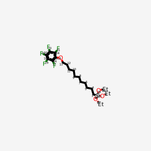 CCO[Si](CCCCCCCCCCCOc1c(F)c(F)c(F)c(F)c1F)(OCC)OCC